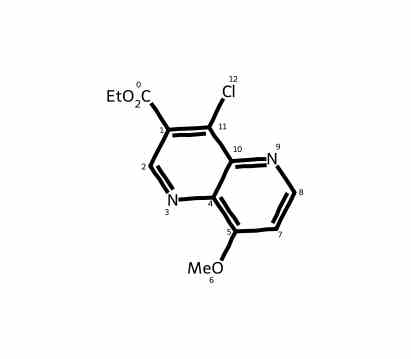 CCOC(=O)c1cnc2c(OC)ccnc2c1Cl